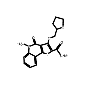 CNC(=O)c1sc2c(c1OCC1CCCO1)c(=O)n(C)c1ccccc21